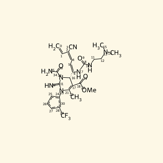 C=C/C(C#N)=C\C=C(/NC(=O)NCCN(C)C)[C@@H]1C(C(=O)OC)=C(C)N(c2cccc(C(F)(F)F)c2)C(=N)N1C(N)=O